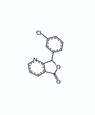 O=C1OC(c2cccc(Cl)c2)c2ncccc21